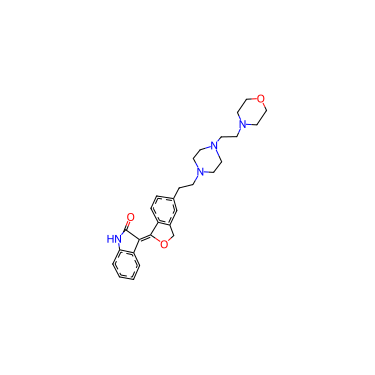 O=C1Nc2ccccc2C1=C1OCc2cc(CCN3CCN(CCN4CCOCC4)CC3)ccc21